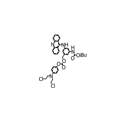 CC(C)COC(=O)Nc1cc(COC(=O)Oc2ccc(N(CCCl)CCCl)cc2)cc(Nc2c3ccccc3nc3ccccc23)c1